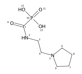 O=C(NCCN1CCCC1)P(=O)(O)O